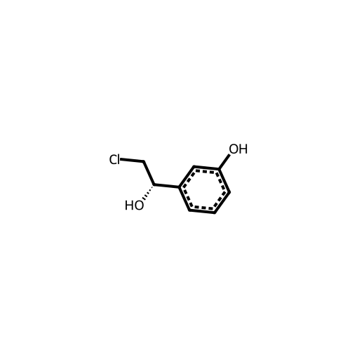 Oc1cccc([C@H](O)CCl)c1